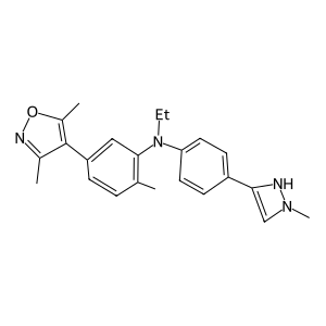 CCN(c1ccc(-c2cn(C)[nH]2)cc1)c1cc(-c2c(C)noc2C)ccc1C